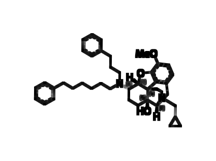 COc1ccc2c3c1O[C@H]1[C@@H](N(CCCCCCc4ccccc4)CCCc4ccccc4)CC[C@@]4(O)[C@@H](C2)N(CC2CC2)CC[C@]314